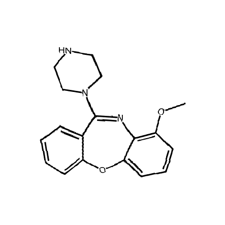 COc1cccc2c1N=C(N1CCNCC1)c1ccccc1O2